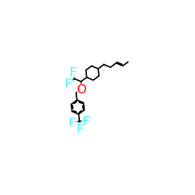 C/C=C/CCC1CCC(C(OCc2ccc(C(F)(F)F)cc2)C(F)F)CC1